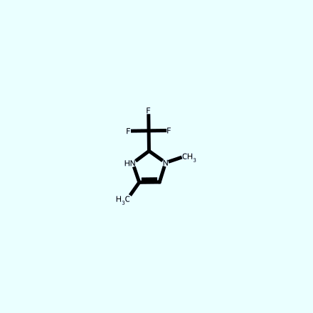 CC1=CN(C)C(C(F)(F)F)N1